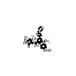 CC(=O)N[C@H]1CC[C@H](N(C)c2cc(-c3ccc(CN4CCOCC4)nc3)cc(C(=O)NCc3c(C)cc(C)[nH]c3=O)c2C)CC1